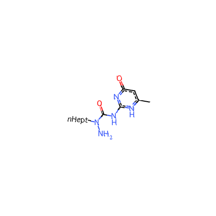 CCCCCCCN(N)C(=O)Nc1nc(=O)cc(C)[nH]1